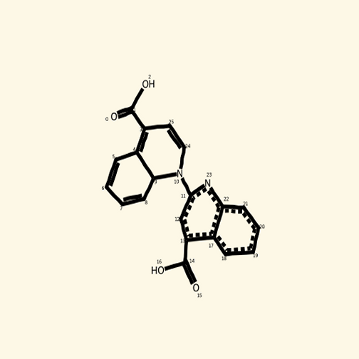 O=C(O)C1=C2C=CC=CC2N(c2cc(C(=O)O)c3ccccc3n2)C=C1